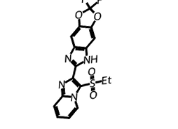 CCS(=O)(=O)c1c(-c2nc3cc4c(cc3[nH]2)OC(F)(F)O4)nc2ccccn12